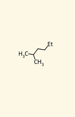 [CH]CCCC(C)C